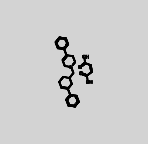 C1=C(c2ccccc2)CCN(CC2CCC=C(c3ccccc3)C2)C1.O=C(O)/C=C\C(=O)O